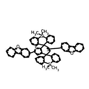 C[Si]1(C)c2ccccc2C2(c3ccccc31)c1cc(-c3ccc4c(c3)oc3ccccc34)sc1C1(c3ccccc3[Si](C)(C)c3ccccc31)c1cc(-c3ccc4c(c3)oc3ccccc34)sc12